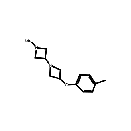 Cc1ccc(OC2CN(C3CN(C(C)(C)C)C3)C2)cc1